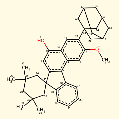 COc1cc2c3c(cc(O)c2cc1C12CC4CC(CC(C4)C1)C2)C1(CC(C)(C)CC(C)(C)C1)c1ccccc1-3